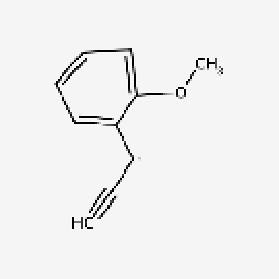 C#C[CH]c1ccccc1OC